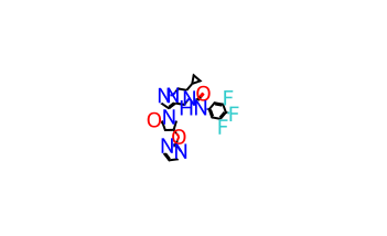 O=C1CC(Oc2ncccn2)CN1c1cnn2c1CN(C(=O)Nc1cc(F)c(F)c(F)c1)C(C1CC1)C2